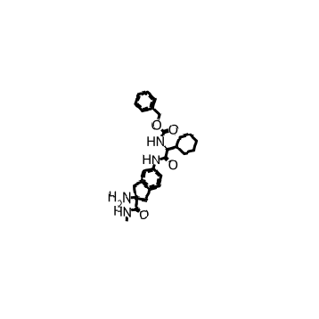 CNC(=O)C1(N)Cc2ccc(NC(=O)[C@@H](NC(=O)OCc3ccccc3)C3CCCCC3)cc2C1